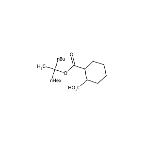 CCCCCCC(C)(CCCC)OC(=O)C1CCCCC1C(=O)O